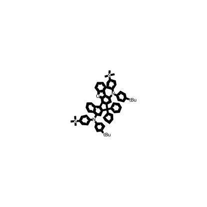 CC(C)(C)c1ccc(N(c2ccc(S(C)(C)C)cc2)c2cc3c(c4ccccc24)-c2c(cc(N(c4ccc(C(C)(C)C)cc4)c4ccc(S(C)(C)C)cc4)c4c2oc2ccccc24)C3(c2ccccc2)c2ccccc2)cc1